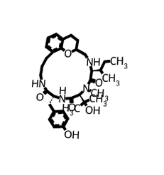 CCC(C)[C@@H]1NCC2CCc3cccc(c3O2)CCCNC(=O)[C@@H](Cc2ccc(O)cc2)NC(=O)[C@H](C(C)(C)O)N(C)C1=O